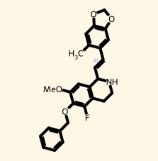 COc1cc2c(c(F)c1OCc1ccccc1)CCNC2/C=C/c1cc2c(cc1C)OCO2